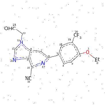 CCOc1ccc(-c2cc3c(ncn3CC=O)c(C#N)n2)cc1C(F)(F)F